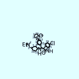 CCN(C)Cc1ccc(N/C(=C2\C(=O)Nc3cc(Cl)ccc32)c2ccc(N3CCCC3=O)cc2)cc1